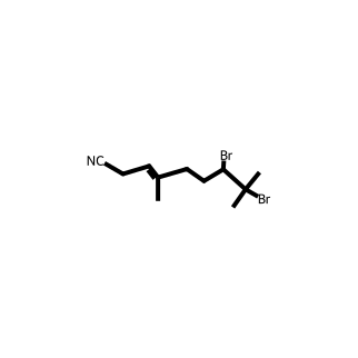 C/C(=C\CC#N)CCC(Br)C(C)(C)Br